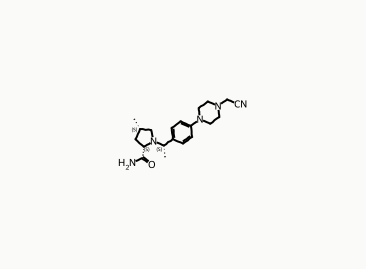 C[C@H]1C[C@@H](C(N)=O)N([C@@H](C)c2ccc(N3CCN(CC#N)CC3)cc2)C1